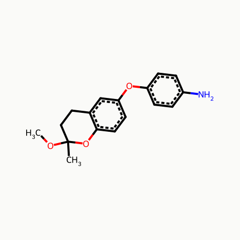 COC1(C)CCc2cc(Oc3ccc(N)cc3)ccc2O1